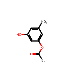 CCC(=O)Oc1cc(O)cc([N+](=O)[O-])c1